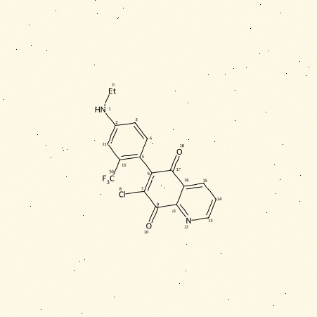 CCNc1ccc(C2=C(Cl)C(=O)c3ncccc3C2=O)c(C(F)(F)F)c1